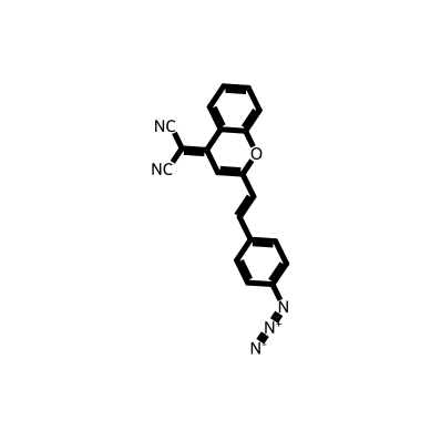 N#CC(C#N)=C1C=C(/C=C/c2ccc(N=[N+]=[N-])cc2)Oc2ccccc21